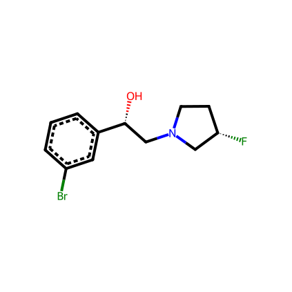 O[C@H](CN1CC[C@H](F)C1)c1cccc(Br)c1